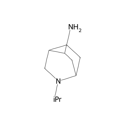 CC(C)N1CC2CCC1CC2N